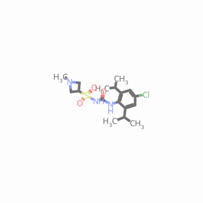 CC(C)c1cc(Cl)cc(C(C)C)c1NC(=O)NS(=O)(=O)C1CN(C)C1